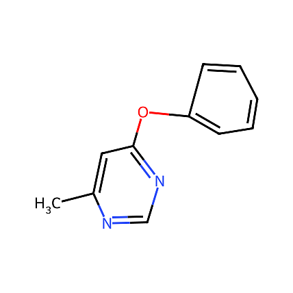 Cc1cc(Oc2ccccc2)ncn1